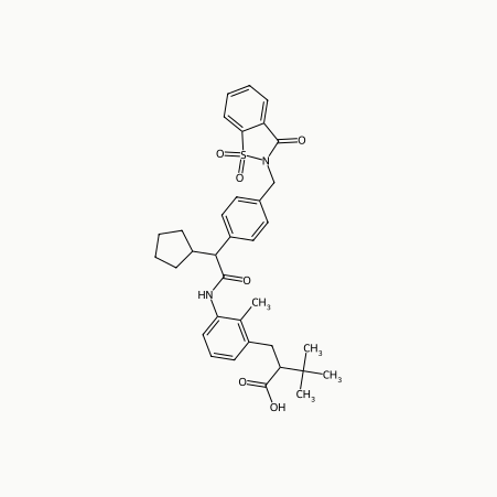 Cc1c(CC(C(=O)O)C(C)(C)C)cccc1NC(=O)C(c1ccc(CN2C(=O)c3ccccc3S2(=O)=O)cc1)C1CCCC1